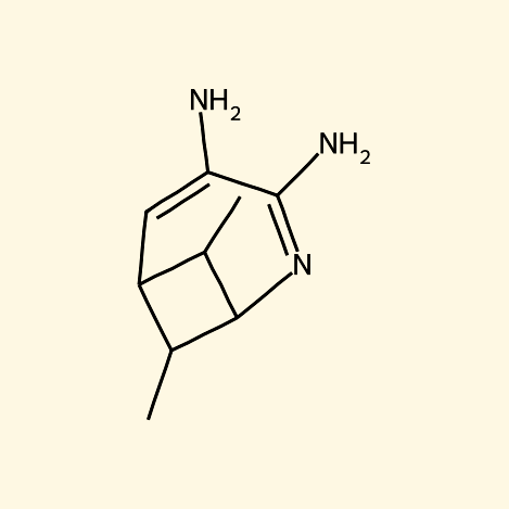 CC1C2C=C(N)C(N)=NC1C2C